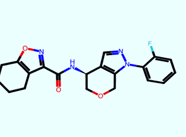 O=C(N[C@@H]1COCc2c1cnn2-c1ccccc1F)c1noc2c1CCCC2